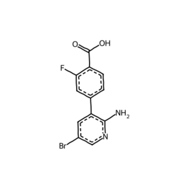 Nc1ncc(Br)cc1-c1ccc(C(=O)O)c(F)c1